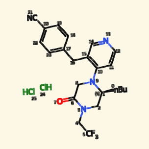 CCCC[C@H]1CN(CC(F)(F)F)C(=O)CN1c1ccncc1Cc1ccc(C#N)cc1.Cl.Cl